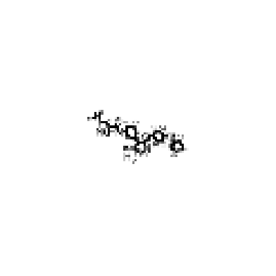 CN(C)C/C=C(\C#N)C(=O)Nc1cccc(-c2c(N)ncnc2Oc2ccc(Oc3ccccc3)cc2)c1